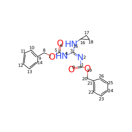 O=C(/N=C(\NC(=O)OCc1ccccc1)NC1CC1)OCc1ccccc1